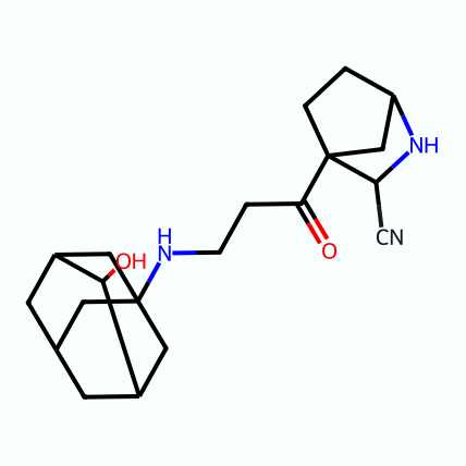 N#CC1NC2CCC1(C(=O)CCNC13CC4CC(C1)C(O)C(C4)C3)C2